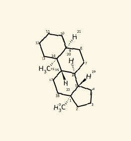 C[C@@]12CCC[C@H]1[C@@H]1CC[C@@H]3CCCC[C@]3(C)[C@H]1CC2